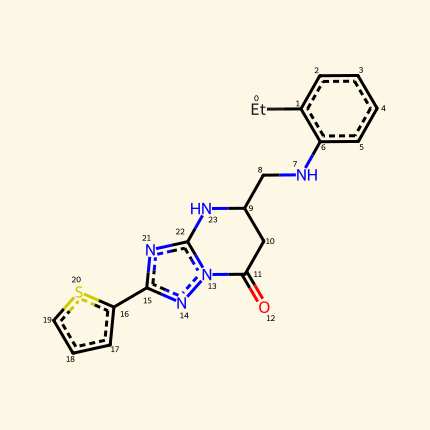 CCc1ccccc1NCC1CC(=O)n2nc(-c3cccs3)nc2N1